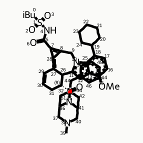 CCC(C)S(=O)(=O)NC(=O)C1=C2Cn3c(cc4c(OC)ccc(C5CCCCC5)c43)C3C(=C21)C=CC[C@H]3C(=O)N1C2CN(C)CC1CN(Cc1ccccc1)C2